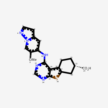 COc1cn2nccc2cc1Nc1ncnc2sc3c(c12)CC[C@H](C(=O)O)C3